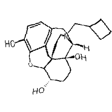 Oc1ccc2c3c1OC1[C@@H](O)CC[C@@]4(O)[C@@H](C2)N(CC2CCC2)CC[C@]314